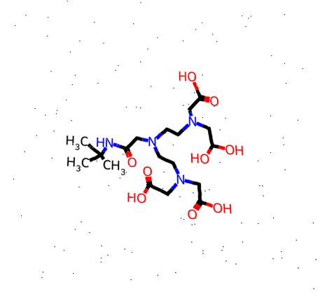 CC(C)(C)NC(=O)CN(CCN(CC(=O)O)CC(=O)O)CCN(CC(=O)O)CC(O)O